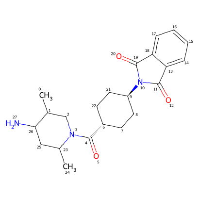 CC1CN(C(=O)[C@H]2CC[C@H](N3C(=O)c4ccccc4C3=O)CC2)C(C)CC1N